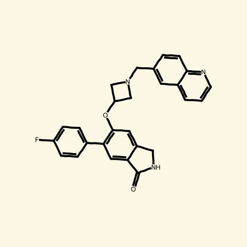 O=C1NCc2cc(OC3CN(Cc4ccc5ncccc5c4)C3)c(-c3ccc(F)cc3)cc21